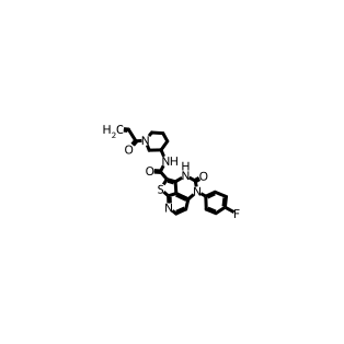 C=CC(=O)N1CCCC(NC(=O)c2sc3nccc4c3c2NC(=O)N4c2ccc(F)cc2)C1